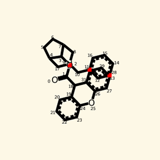 O=C(OC1C2CCC1CN(Cc1ccccc1)C2)C1c2ccccc2Oc2ccccc21